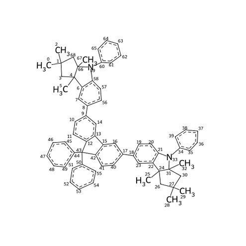 CC1(C)CC2(C)c3cc(-c4ccc5c(c4)-c4cc(-c6ccc7c(c6)C6(C)CC(C)(C)CC6(C)N7c6ccccc6)ccc4C5(c4ccccc4)c4ccccc4)ccc3N(c3ccccc3)C2(C)C1